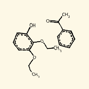 CC(=O)c1ccccc1.CCOc1cccc(O)c1OCC